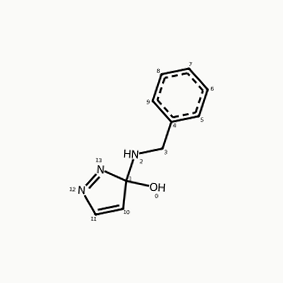 OC1(NCc2ccccc2)C=CN=N1